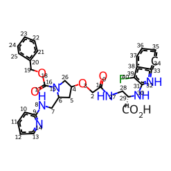 O=C(COC1CC(CNc2ccccn2)N(C(=O)OCc2ccccc2)C1)NC[C@H](Nc1[nH]c2ccccc2c1F)C(=O)O